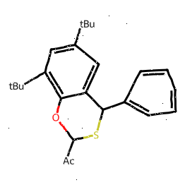 CC(=O)C1Oc2c(cc(C(C)(C)C)cc2C(C)(C)C)C(c2ccccc2)S1